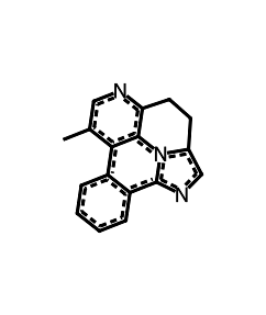 Cc1cnc2c3c1c1ccccc1c1ncc(n13)CC2